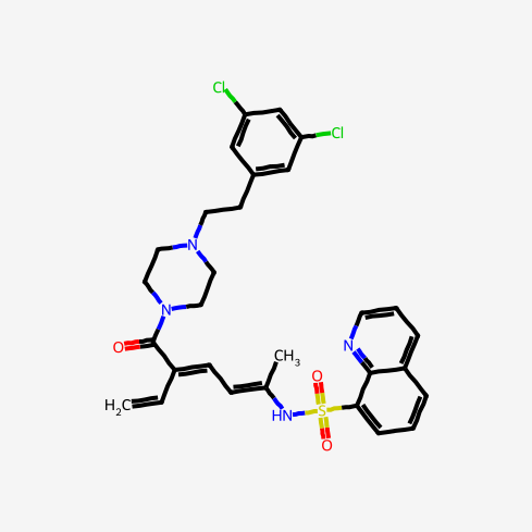 C=C/C(=C\C=C(/C)NS(=O)(=O)c1cccc2cccnc12)C(=O)N1CCN(CCc2cc(Cl)cc(Cl)c2)CC1